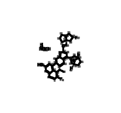 CCc1c(F)ccc2cc(O)cc(-c3ccc4c(N5C[C@H]6CC[C@@H](C5)N6)cc(OC[C@@]56CCCN5C[C@H](F)C6)nc4c3)c12.Cl.Cl.Cl